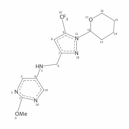 COc1ncc(NCc2cc(C(F)(F)F)n(C3CCCCO3)n2)cn1